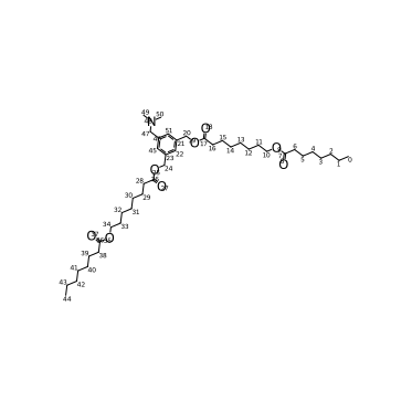 CCCCCCCC(=O)OCCCCCCCC(=O)OCc1cc(COC(=O)CCCCCCCOC(=O)CCCCCCC)cc(CN(C)C)c1